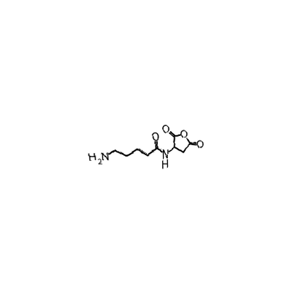 NCCCCC(=O)NC1CC(=O)OC1=O